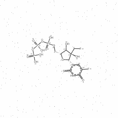 O=c1[nH]c(=S)n([C@@H]2O[C@H](COP(=O)(O)OP(=O)(O)OP(=O)(O)O)C(O)[C@]2(O)CF)cc1F